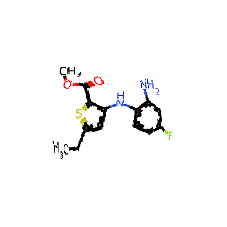 CCc1cc(Nc2ccc(F)cc2N)c(C(=O)OC)s1